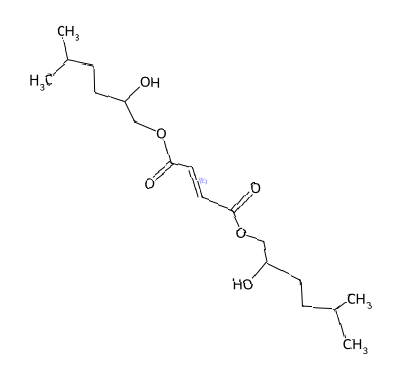 CC(C)CCC(O)COC(=O)/C=C/C(=O)OCC(O)CCC(C)C